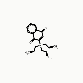 C=CC[N+](CC=C)(CC=C)C1=CC(=O)c2ccccc2C1=O